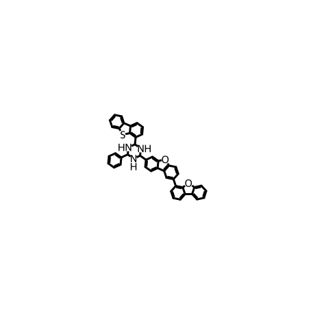 c1ccc(C2NC(c3ccc4c(c3)oc3ccc(-c5cccc6c5oc5ccccc56)cc34)NC(c3cccc4c3sc3ccccc34)N2)cc1